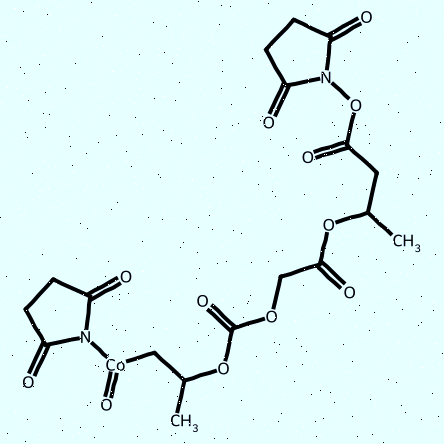 CC(CC(=O)ON1C(=O)CCC1=O)OC(=O)COC(=O)OC(C)[CH2][Co](=[O])[N]1C(=O)CCC1=O